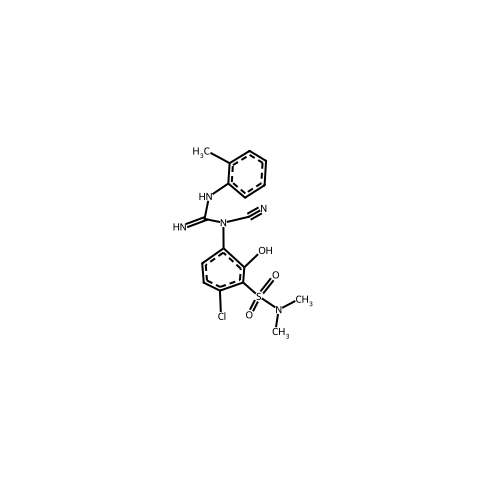 Cc1ccccc1NC(=N)N(C#N)c1ccc(Cl)c(S(=O)(=O)N(C)C)c1O